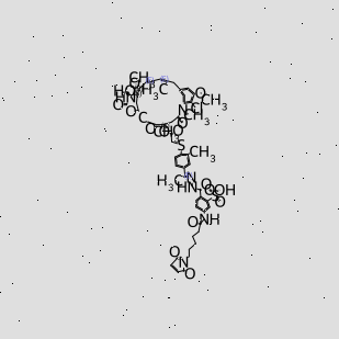 COc1cc2cc(c1Cl)N(C)C(=O)C[C@H](OC(=O)CSc1ccc(/C(C)=N/NC(=O)c3ccc(NC(=O)CCCCCN4C(=O)C=CC4=O)cc3S(=O)(=O)O)cc1C)C1(C)OC1CC1C[C@@](O)(NC(=O)O1)[C@H](OC)/C=C/C=C(\C)C2